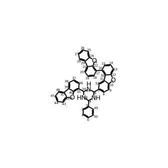 c1ccc(C2NC(c3ccc4oc5cccc(-c6cccc7c6oc6ccccc67)c5c4c3)NC(c3cccc4c3oc3ccccc34)N2)cc1